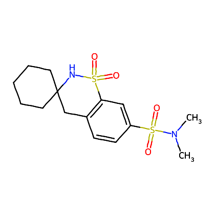 CN(C)S(=O)(=O)c1ccc2c(c1)S(=O)(=O)NC1(CCCCC1)C2